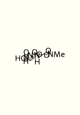 CNC(=O)OCCONC(=O)[C@@H]1CC[C@@H]2CN1C(=O)N2O